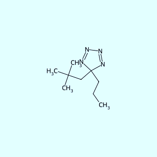 CCCC1(CC(C)(C)C)N=NN=N1